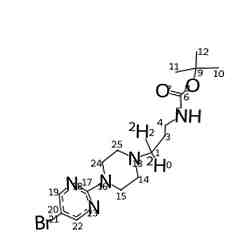 [2H]C([2H])(CCNC(=O)OC(C)(C)C)N1CCN(c2ncc(Br)cn2)CC1